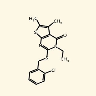 CCn1c(SCc2ccccc2Cl)nc2sc(C)c(C)c2c1=O